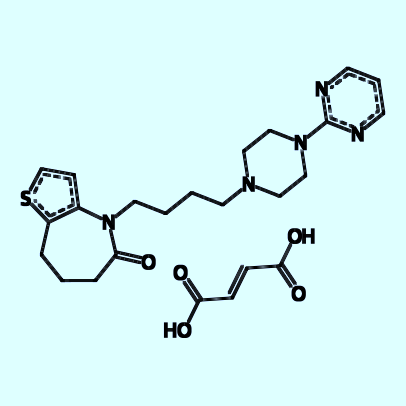 O=C(O)C=CC(=O)O.O=C1CCCc2sccc2N1CCCCN1CCN(c2ncccn2)CC1